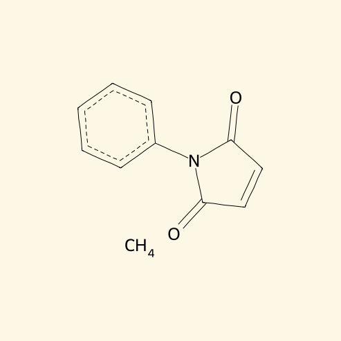 C.O=C1C=CC(=O)N1c1ccccc1